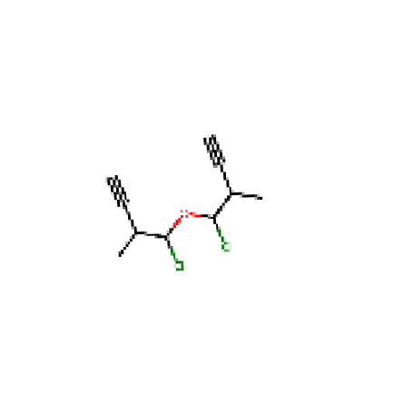 C#CC(C)C(Cl)OC(Cl)C(C)C#C